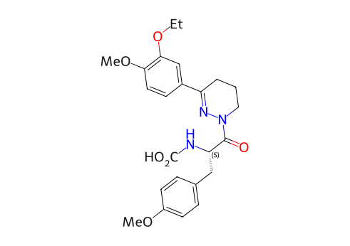 CCOc1cc(C2=NN(C(=O)[C@H](Cc3ccc(OC)cc3)NC(=O)O)CCC2)ccc1OC